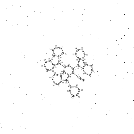 N#Cc1c(-n2c3ccccc3c3ccccc32)cc(-n2c3ccccc3c3ccccc32)c2c3ccccc3n(-c3ccccc3)c12